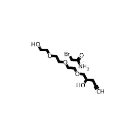 C#CCC(O)COCCOCCOCCO.NC(=O)CBr